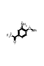 CC(C)Oc1ccc(C(=O)C(F)(F)F)cc1N